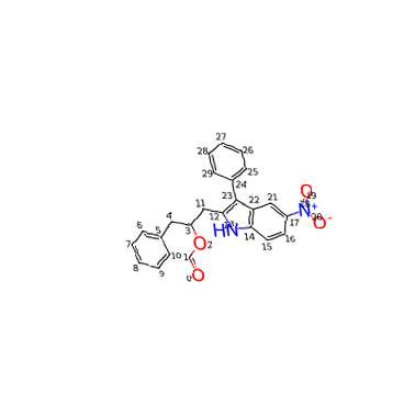 O=COC(Cc1ccccc1)Cc1[nH]c2ccc([N+](=O)[O-])cc2c1-c1ccccc1